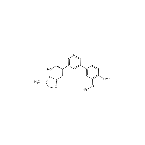 CCCOc1cc(-c2cncc([C@H](CO)CB3OC[C@H](C)O3)c2)ccc1OC